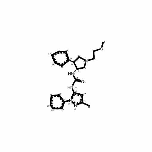 COCCN1C[C@H](NC(=O)Nc2cc(C)nn2-c2ccccc2)[C@@H](c2ccccc2)C1